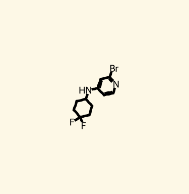 FC1(F)CCC(Nc2ccnc(Br)c2)CC1